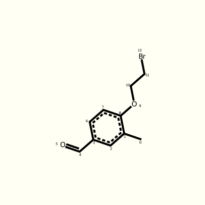 Cc1cc(C=O)ccc1OCCBr